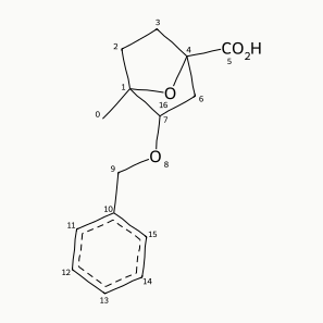 CC12CCC(C(=O)O)(CC1OCc1ccccc1)O2